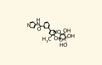 Cc1cc(-c2cccc(C(=O)Nc3ccncc3)c2)ccc1O[C@H]1O[C@@H](CO)[C@@H](O)[C@H](O)[C@H]1O